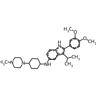 COc1ccc(-c2[nH]c3ccc(NC4CCC(N5CCN(C)CC5)CC4)cc3c2C(C)C)cc1OC